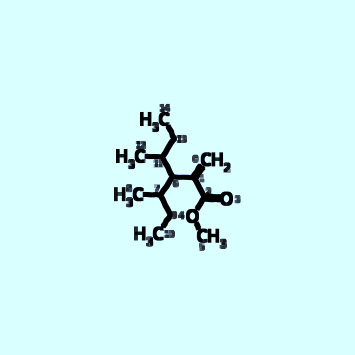 C=C(C(=O)OC)C(C(C)CC)C(C)CC